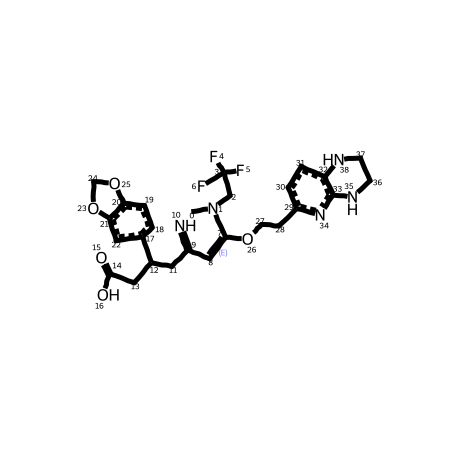 CN(CC(F)(F)F)/C(=C\C(=N)CC(CC(=O)O)c1ccc2c(c1)OCO2)OCCc1ccc2c(n1)NCCN2